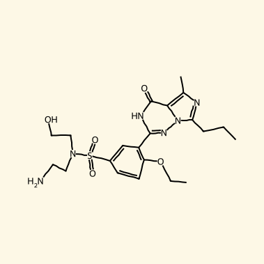 CCCc1nc(C)c2c(=O)[nH]c(-c3cc(S(=O)(=O)N(CCN)CCO)ccc3OCC)nn12